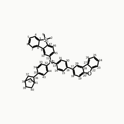 CS1(C)c2ccccc2-c2cc(N(c3ccc(-c4ccc5oc6ccccc6c5c4)cc3)c3ccc(C4CC5CCC4C5)cc3)ccc21